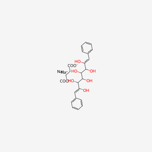 O=C([O-])CCC(=O)[O-].OC(=Cc1ccccc1)C(O)C(O)C(O)C(O)C(O)=Cc1ccccc1.[Na+].[Na+]